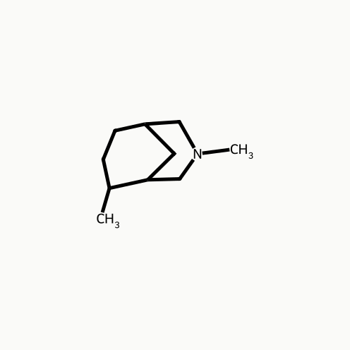 CC1CCC2CC1CN(C)C2